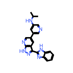 CC(C)Nc1cncc(-c2cnc3[nH]nc(-c4nc5ccccc5[nH]4)c3c2)c1